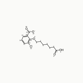 O=C(O)CCCCCCOc1c(Cl)cccc1[N+](=O)[O-]